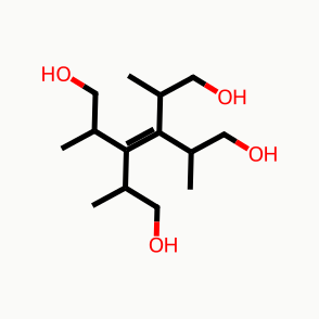 CC(CO)C(=C(C(C)CO)C(C)CO)C(C)CO